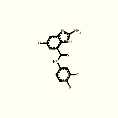 Nc1nc2cc(F)cc(C(=S)Nc3ccc(F)c(Cl)c3)c2[nH]1